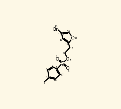 Cc1ccc(S(=O)(=O)OCCc2cc(Br)co2)cc1